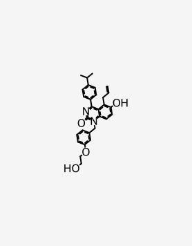 C=CCc1c(O)ccc2c1c(-c1ccc(C(C)C)cc1)nc(=O)n2Cc1cccc(OCCO)c1